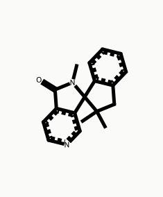 CN1C(=O)c2ccncc2C12c1ccccc1CC2(C)C